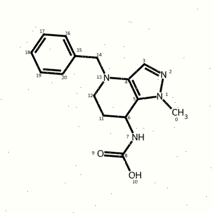 Cn1ncc2c1C(NC(=O)O)CCN2Cc1ccccc1